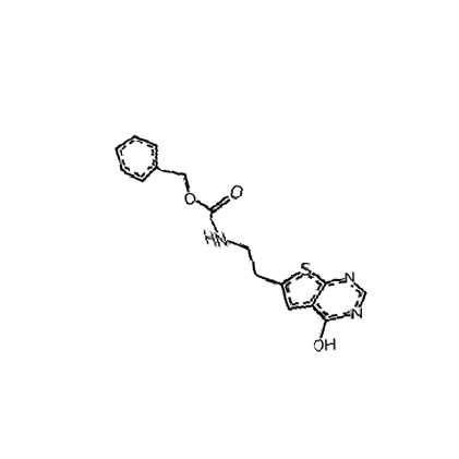 O=C(NCCc1cc2c(O)ncnc2s1)OCc1ccccc1